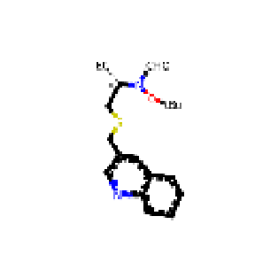 CC[C@@H](CSCc1cnc2ccccc2c1)N(C=O)OC(C)(C)C